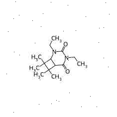 CCN1C(=O)C2C(N(CC)C1=O)C(C)(C)C2(C)C